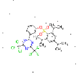 CC(C)c1cc(C(C)C)c(S(=O)(=O)Oc2cccc(-c3nc(C(Cl)(Cl)Cl)nc(C(Cl)(Cl)Cl)n3)c2)c(C(C)C)c1